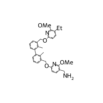 CCc1ccc(OCc2cccc(-c3cccc(COc4ccc(CN)c(OC)n4)c3C)c2C)nc1OC